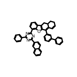 C1=CC2=C(c3cccc(-c4ccccc4)c3)c3oc4c(-c5nc(-c6ccccc6)nc(-c6ccc7ccccc7c6)n5)cccc4c3CC2CC1